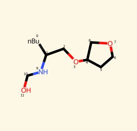 CCCCC(COC1CCOC1)NCO